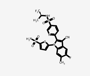 Cc1cc2c(cc1F)c(C#N)c(-c1ccc(S(=O)(=O)N[C@@H](C)C(F)(F)F)cn1)n2-c1ccc(S(N)(=O)=O)s1